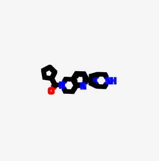 O=C(C1CCCC1)N1CCc2nc(N3C4CCC3CNC4)ccc2C1